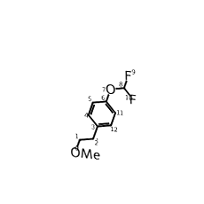 COC[CH]c1ccc(OC(F)F)cc1